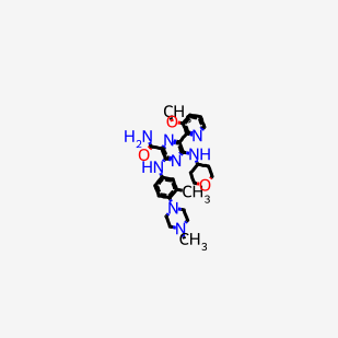 COc1cccnc1-c1nc(C(N)=O)c(Nc2ccc(N3CCN(C)CC3)c(C)c2)nc1NC1CCOCC1